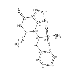 Cl.NC1NC(=O)c2[nH]cnc2N1C(Cc1ccccc1)S(N)(=O)=O